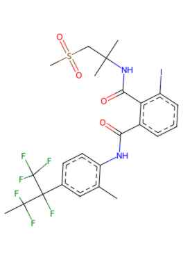 Cc1cc(C(F)(C(C)(F)F)C(F)(F)F)ccc1NC(=O)c1cccc(I)c1C(=O)NC(C)(C)CS(C)(=O)=O